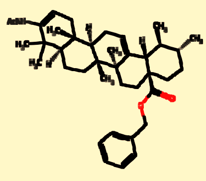 CC(=O)NC1=CC[C@]2(C)[C@H]3CC=C4[C@@H]5[C@@H](C)[C@H](C)CC[C@]5(C(=O)OCc5ccccc5)CC[C@@]4(C)[C@]3(C)CC[C@H]2C1(C)C